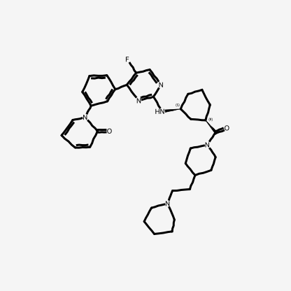 O=C([C@@H]1CCC[C@H](Nc2ncc(F)c(-c3cccc(-n4ccccc4=O)c3)n2)C1)N1CCC(CCN2CCCCC2)CC1